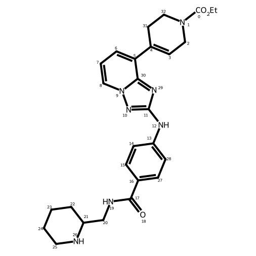 CCOC(=O)N1CC=C(c2cccn3nc(Nc4ccc(C(=O)NCC5CCCCN5)cc4)nc23)CC1